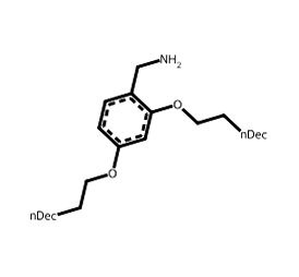 CCCCCCCCCCCCOc1ccc(CN)c(OCCCCCCCCCCCC)c1